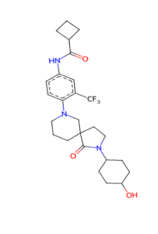 O=C(Nc1ccc(N2CCCC3(CCN(C4CCC(O)CC4)C3=O)C2)c(C(F)(F)F)c1)C1CCC1